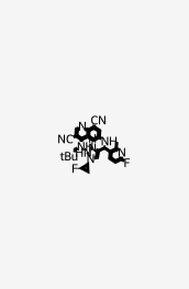 Cc1nc(F)ccc1[C@H](Nc1cc(C#N)c2ncc(C#N)c(NCC(C)(C)C)c2c1)C1=CN([C@@H]2C[C@@H]2F)NN1